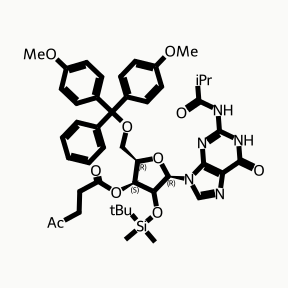 COc1ccc(C(OC[C@H]2O[C@@H](n3cnc4c(=O)[nH]c(NC(=O)C(C)C)nc43)C(O[Si](C)(C)C(C)(C)C)[C@H]2OC(=O)CCC(C)=O)(c2ccccc2)c2ccc(OC)cc2)cc1